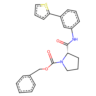 O=C(Nc1cccc(-c2cccs2)c1)[C@@H]1CCCN1C(=O)OCc1ccccc1